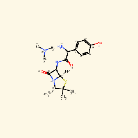 CC1(C)S[C@@H]2C(NC(=O)C(N)c3ccc(O)cc3)C(=O)N2[C@H]1C(=O)O.CCN(CC)CC